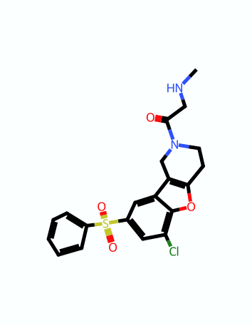 CNCC(=O)N1CCc2oc3c(Cl)cc(S(=O)(=O)c4ccccc4)cc3c2C1